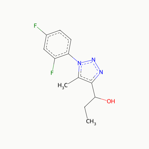 CCC(O)c1nnn(-c2ccc(F)cc2F)c1C